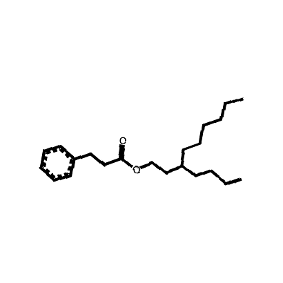 CCCCCCC(CCCC)CCOC(=O)CCc1ccccc1